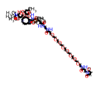 CCN(C(C)=O)[C@H]1CO[C@@H](O[C@H]2[C@H](O[C@H]3C#C/C=C\C#CC4CC(=O)C(NC(=O)OC)=C3/C4=C\CSSC(C)(C)CCC(=O)NCCNC(=O)CCOCCOCCOCCOCCOCCOCCOCCOCCNC(=O)CCN3C(=O)C=CC3=O)O[C@H](C)C[C@@H]2O)C[C@@H]1OC